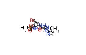 Cc1cccnc1-n1cc(C(=O)Nc2cc(Br)cc(NS(C)(=O)=O)c2)cn1